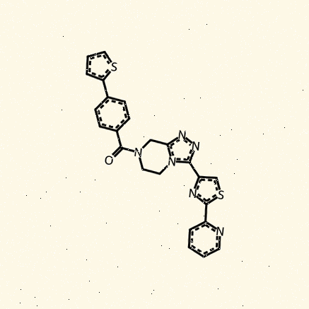 O=C(c1ccc(-c2cccs2)cc1)N1CCn2c(nnc2-c2csc(-c3ccccn3)n2)C1